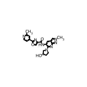 Cc1cc(-c2nc(C(=O)Nc3cc4cn(C)nc4nc3N3CC[C@H](O)C3)co2)ccn1